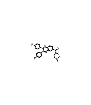 CN1CCN(C(=O)c2ccc3nc(-c4ccc(F)cc4)c(-c4ccc(F)cc4)nc3c2)CC1